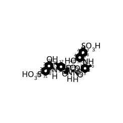 Cc1ccc(S(=O)(=O)NC(=O)NS(=O)(=O)c2ccc(C)c(Nc3cc(O)cc4cc(S(=O)(=O)O)ccc34)c2)cc1Nc1cc(O)cc2cc(S(=O)(=O)O)ccc12